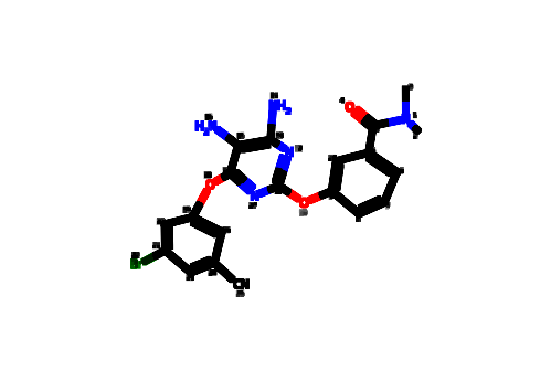 CN(C)C(=O)c1cccc(Oc2nc(N)c(N)c(Oc3cc(Br)cc(C#N)c3)n2)c1